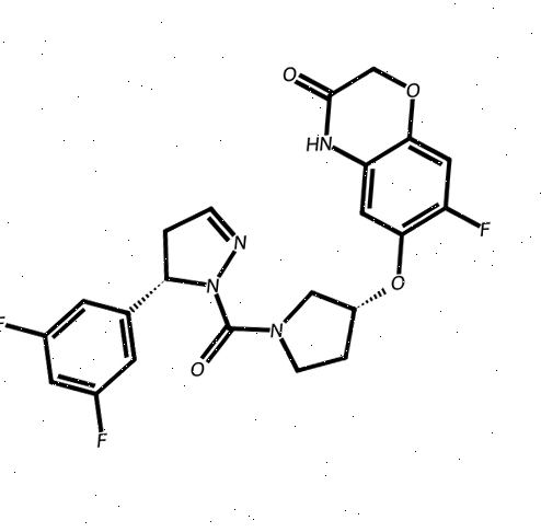 O=C1COc2cc(F)c(O[C@@H]3CCN(C(=O)N4N=CC[C@H]4c4cc(F)cc(F)c4)C3)cc2N1